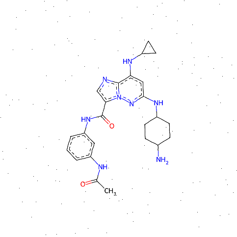 CC(=O)Nc1cccc(NC(=O)c2cnc3c(NC4CC4)cc(NC4CCC(N)CC4)nn23)c1